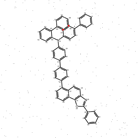 c1ccc(-c2ccc(N(c3ccc(-c4ccc(-c5cccc6c5ccc5nc(-c7ccccc7)oc56)cc4)cc3)c3ccccc3-c3ccccc3)cc2)cc1